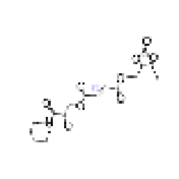 Cc1oc(=O)oc1COC(=O)/C=C/C(=O)OCC(=O)C(=O)N1CCCCC1